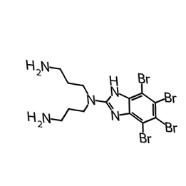 NCCCN(CCCN)c1nc2c(Br)c(Br)c(Br)c(Br)c2[nH]1